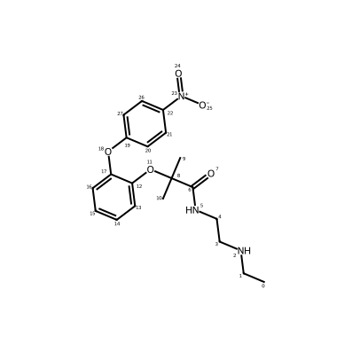 CCNCCNC(=O)C(C)(C)Oc1ccccc1Oc1ccc([N+](=O)[O-])cc1